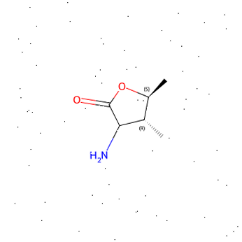 C[C@@H]1OC(=O)C(N)[C@H]1C